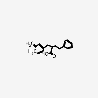 C=C/C=C(\C=C/C)CC(CCc1ccccc1)C(=O)O